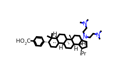 CC(C)[C@@H]1CC[C@]2(N(CCN(C)C)CCN(C)C)CC[C@]3(C)[C@H](CC[C@@H]4[C@@]5(C)CC[C@H](c6ccc(C(=O)O)cc6)C(C)(C)[C@@H]5CC[C@]43C)[C@@H]12